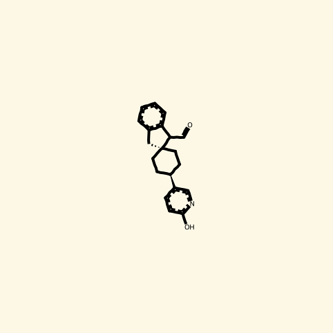 O=CC1c2ccccc2C[C@]12CC[C@H](c1ccc(O)nc1)CC2